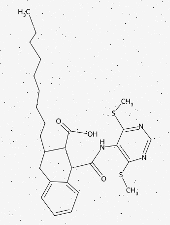 CCCCCCCCCC1Cc2ccccc2C(C(=O)Nc2c(SC)ncnc2SC)C1C(=O)O